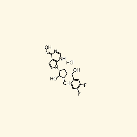 Cl.ON=c1nc[nH]c2c1ccn2[C@@H]1C[C@H](C(O)c2ccc(F)c(F)c2)[C@@H](O)[C@H]1O